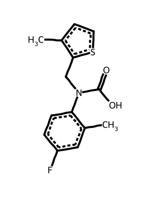 Cc1cc(F)ccc1N(Cc1sccc1C)C(=O)O